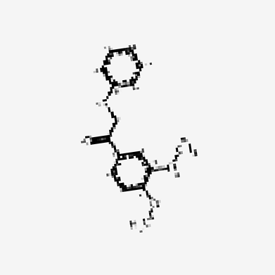 COc1ccc(C(=O)CSc2ccccc2)cc1OC